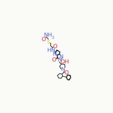 NC(=O)CSCCC(=O)Nc1ccc2ncn(CC3(O)CCN(C(=O)C4CCCCC4c4ccccc4)CC3)c(=O)c2n1